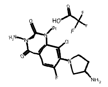 CC(C)n1c(=O)n(N)c(=O)c2cc(F)c(N3CCC(N)C3)c(Cl)c21.O=C(O)C(F)(F)F